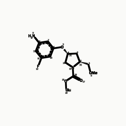 COC[C@H]1C[C@@H](Oc2cc(N)cc(F)c2)CN1C(=O)OC(C)(C)C